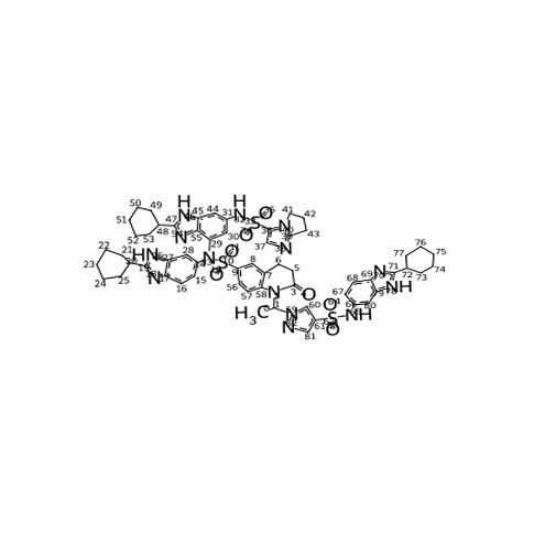 CC(N1C(=O)CCc2cc(S(=O)(=O)N(c3ccc4nc(C5CCCCC5)[nH]c4c3)c3cc(NS(=O)(=O)c4cnc5n4CCC5)cc4[nH]c(C5CCCCC5)nc34)ccc21)n1cc(S(=O)(=O)Nc2ccc3nc(C4CCCCC4)[nH]c3c2)cn1